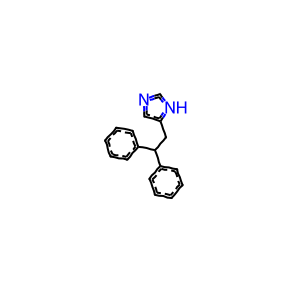 c1ccc(C(Cc2cnc[nH]2)c2ccccc2)cc1